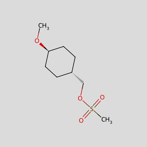 CO[C@H]1CC[C@H](COS(C)(=O)=O)CC1